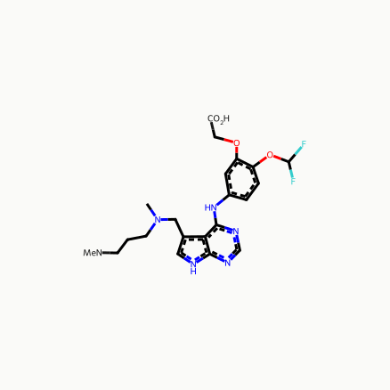 CNCCCN(C)Cc1c[nH]c2ncnc(Nc3ccc(OC(F)F)c(OCC(=O)O)c3)c12